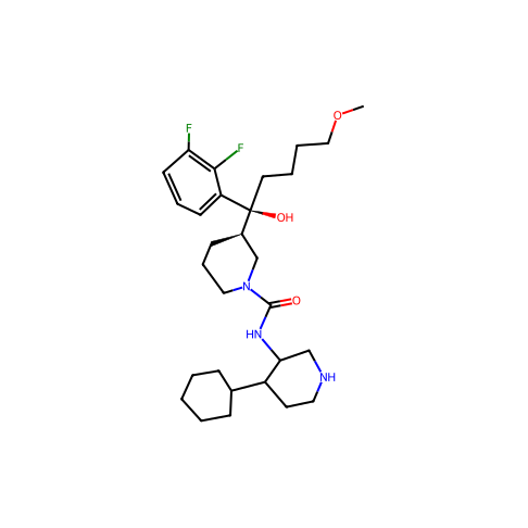 COCCCC[C@@](O)(c1cccc(F)c1F)[C@@H]1CCCN(C(=O)NC2CNCCC2C2CCCCC2)C1